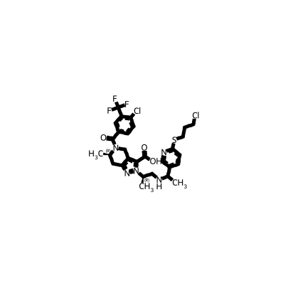 CC(NC[C@@H](C)n1nc2c(c1C(=O)O)CN(C(=O)c1ccc(Cl)c(C(F)(F)F)c1)[C@H](C)C2)c1ccc(SCCCCl)nc1